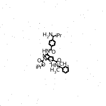 CC(C)OC(=O)n1nc(NC(=O)c2ccc(C(N)C(C)C)cc2)c2cc(C(=O)NC(C)(C)c3ccccc3)sc21